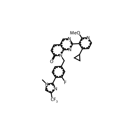 COc1nccc(C2CC2)c1-c1ncc2ccc(=O)n(Cc3ccc(-c4nc(C(F)(F)F)cn4C)c(F)c3)c2n1